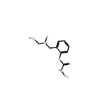 CC[S+]([O-])Cc1ccccc1OC(=O)NC